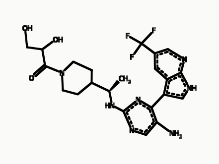 C[C@@H](Nc1ncc(N)c(-c2c[nH]c3ncc(C(F)(F)F)cc23)n1)C1CCN(C(=O)C(O)CO)CC1